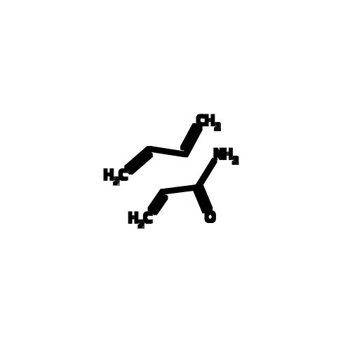 C=CC(N)=O.C=CC=C